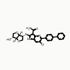 NC(=O)c1c(O[C@@H]2CO[C@H]3[C@@H]2OC[C@H]3O)[nH]c2cc(Cl)c(-c3ccc(-c4ccccc4)cc3)nc12